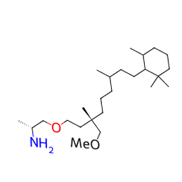 COC[C@@](C)(CCCC(C)CCC1C(C)CCCC1(C)C)CCOC[C@@H](C)N